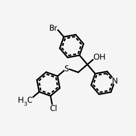 Cc1ccc(SCC(O)(c2ccc(Br)cc2)c2cccnc2)cc1Cl